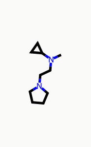 CN(CCN1CCCC1)C1CC1